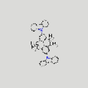 Cc1cc(-n2c3ccccc3c3ccccc32)cc(C)c1-c1c(C)cc(-n2c3ccccc3c3ccccc32)cc1C